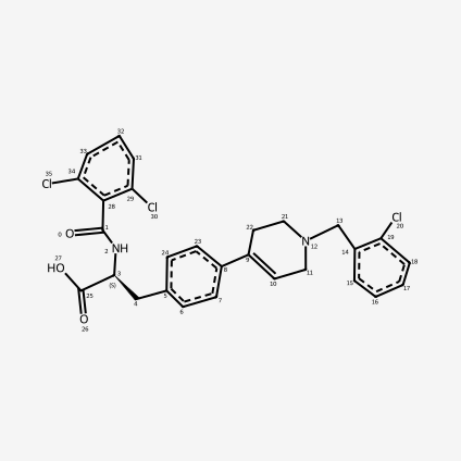 O=C(N[C@@H](Cc1ccc(C2=CCN(Cc3ccccc3Cl)CC2)cc1)C(=O)O)c1c(Cl)cccc1Cl